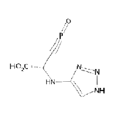 O=P#C[C@H](Nc1c[nH]nn1)C(=O)O